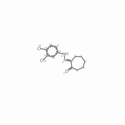 O=C1CCCCC/C1=N\Nc1ccc(Cl)c(Cl)c1